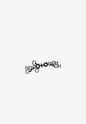 CC(C)(c1ccc(OC[C@@H](O)CO)cc1)c1cc(Cl)c(OC[C@@H](O)CCl)c(Cl)c1